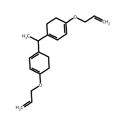 C=CCOC1=CC=C(C(C)C2=CC=C(OCC=C)CC2)CC1